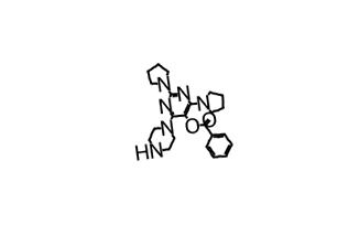 O=C(Oc1c(N2CCCC2)nc(N2CCCC2)nc1N1CCNCC1)c1ccccc1